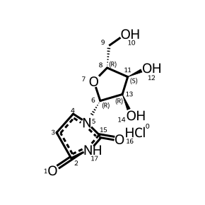 Cl.O=c1ccn([C@@H]2O[C@H](CO)[C@@H](O)[C@H]2O)c(=O)[nH]1